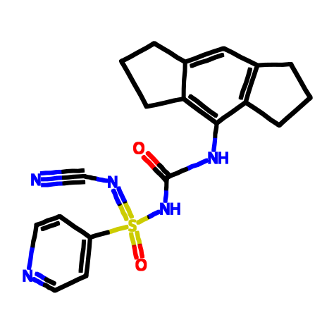 N#CN=S(=O)(NC(=O)Nc1c2c(cc3c1CCC3)CCC2)c1ccncc1